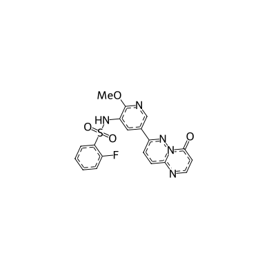 COc1ncc(-c2ccc3nccc(=O)n3n2)cc1NS(=O)(=O)c1ccccc1F